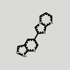 c1cnc2nc(-c3cnc4[nH]ncc4c3)cn2c1